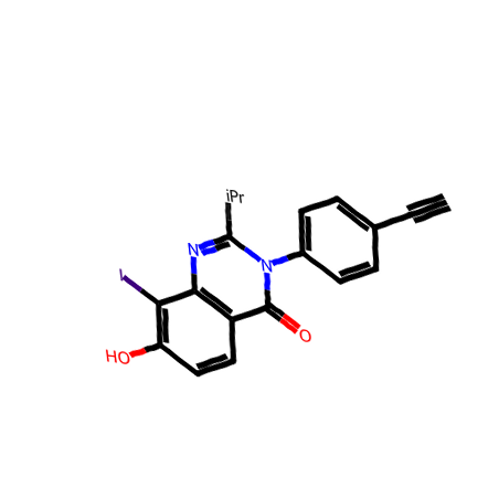 C#Cc1ccc(-n2c(C(C)C)nc3c(I)c(O)ccc3c2=O)cc1